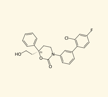 O=C1O[C@@](CCO)(c2ccccc2)CCN1c1cccc(-c2ccc(F)cc2Cl)c1